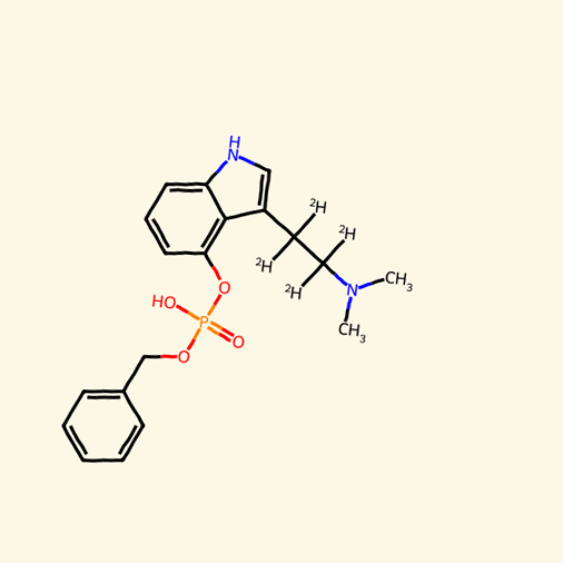 [2H]C([2H])(c1c[nH]c2cccc(OP(=O)(O)OCc3ccccc3)c12)C([2H])([2H])N(C)C